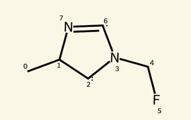 CC1[C]N(CF)[C]=N1